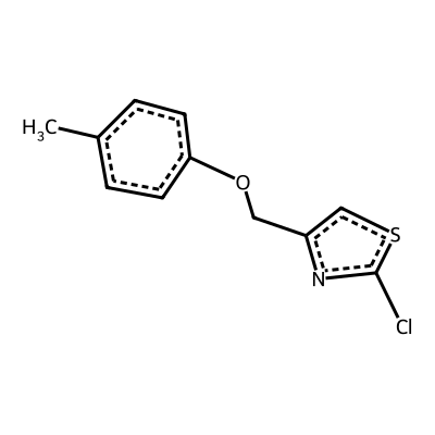 Cc1ccc(OCc2csc(Cl)n2)cc1